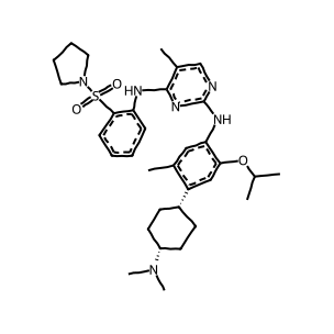 Cc1cnc(Nc2cc(C)c([C@H]3CC[C@@H](N(C)C)CC3)cc2OC(C)C)nc1Nc1ccccc1S(=O)(=O)N1CCCC1